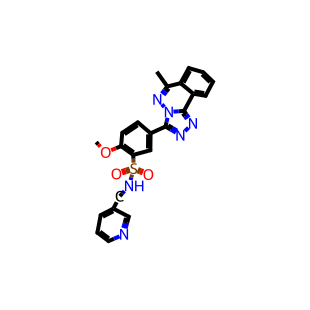 COc1ccc(-c2nnc3c4ccccc4c(C)nn23)cc1S(=O)(=O)NCc1cccnc1